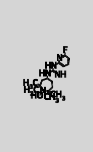 CC1(C)CCC(NC(=N)Nc2cccc(F)n2)CC(C)(C)N1O